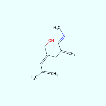 C=C(C)/C=C(/CO)CC(=C)/C=N/C